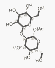 CO[C@@H]1O[C@H](CO)[C@@H](O)[C@H](O)[C@H]1O[C@@H]1O[C@H](CO)[C@@H](O)[C@H](O)[C@@H]1O